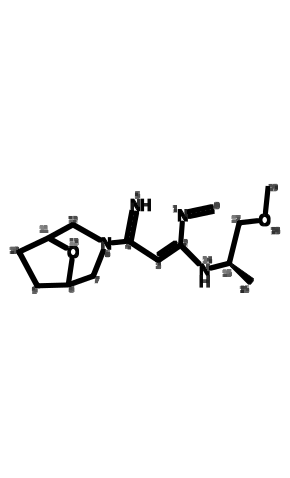 C=N/C(=C\C(=N)N1CC2CCC(C1)O2)N[C@H](C)COC